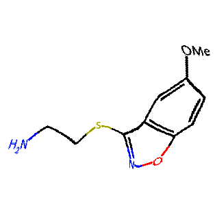 COc1ccc2onc(SCCN)c2c1